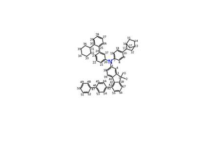 CC1(C)c2cc(N(c3ccc(C4CC5CCC4C5)cc3)c3cccc(-c4ccccc4C4CCCCC4)c3)ccc2-c2c(-c3ccc(-c4ccccc4)cc3)cccc21